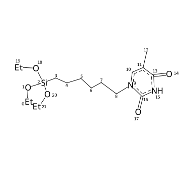 CCO[Si](CCCCCCn1cc(C)c(=O)[nH]c1=O)(OCC)OCC